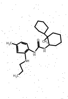 CCCNc1cc(C)ccc1NC(=O)NC1CCCCC1(C)C1CCCCC1